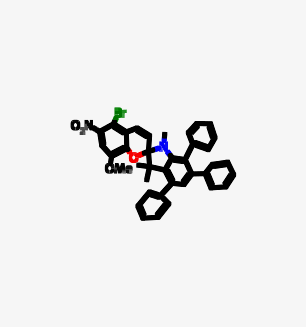 COc1cc([N+](=O)[O-])c(Br)c2c1OC1(C=C2)N(C)c2c(-c3ccccc3)c(-c3ccccc3)cc(-c3ccccc3)c2C1(C)C